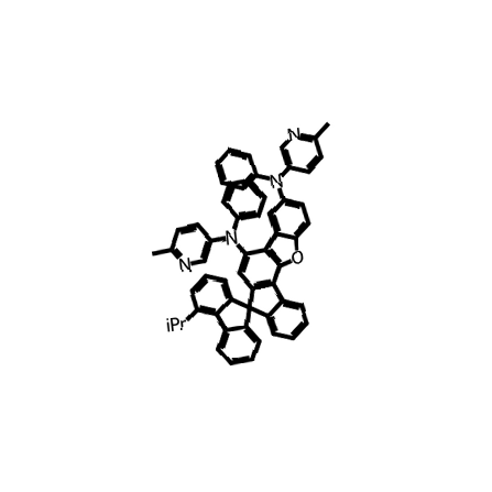 Cc1ccc(N(c2ccccc2)c2ccc3oc4c5c(cc(N(c6ccccc6)c6ccc(C)nc6)c4c3c2)C2(c3ccccc3-c3c(C(C)C)cccc32)c2ccccc2-5)cn1